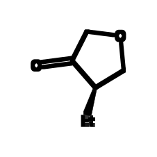 CC[C@@H]1COCC1=O